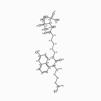 CCN(C)CCCC(C)N(C(=O)OCCCCCC(=O)NC(P(=O)(O)O)P(=O)(O)O)c1ccnc2cc(Cl)ccc12